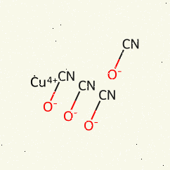 N#C[O-].N#C[O-].N#C[O-].N#C[O-].[Cu+4]